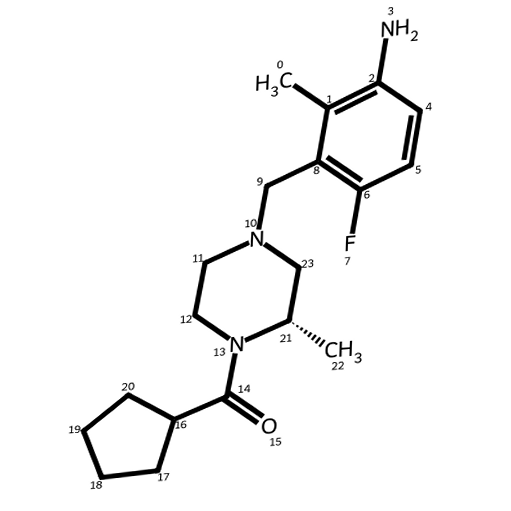 Cc1c(N)ccc(F)c1CN1CCN(C(=O)C2CCCC2)[C@@H](C)C1